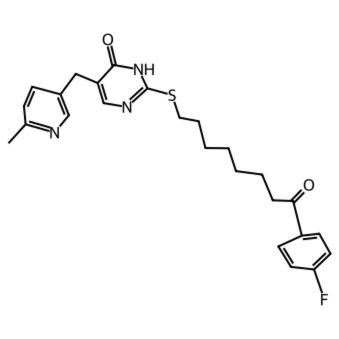 Cc1ccc(Cc2cnc(SCCCCCCCC(=O)c3ccc(F)cc3)[nH]c2=O)cn1